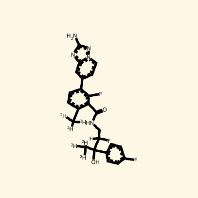 [2H]C([2H])([2H])c1ccc(-c2ccn3nc(N)nc3c2)c(F)c1C(=O)NCC(F)(F)C(O)(c1ccc(F)cc1)C([2H])([2H])[2H]